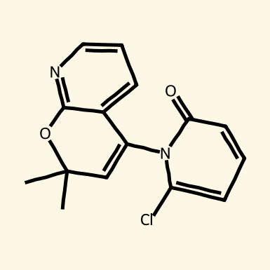 CC1(C)C=C(n2c(Cl)cccc2=O)c2cccnc2O1